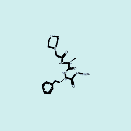 CCCCOC(=O)[C@H](CCc1ccccc1)NC(=O)[C@H](C)NC(=O)CN1CCOCC1